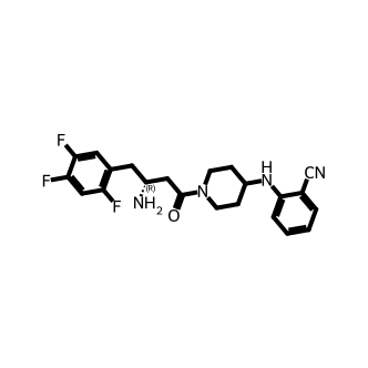 N#Cc1ccccc1NC1CCN(C(=O)C[C@H](N)Cc2cc(F)c(F)cc2F)CC1